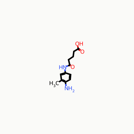 Cc1cc(NC(=O)CCCC(=O)O)ccc1N